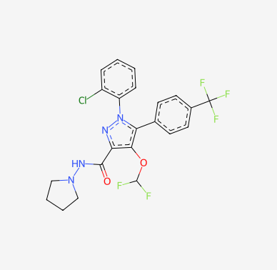 O=C(NN1CCCC1)c1nn(-c2ccccc2Cl)c(-c2ccc(C(F)(F)F)cc2)c1OC(F)F